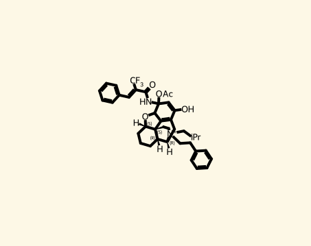 CC(=O)OC1(NC(=O)C(=Cc2ccccc2)C(F)(F)F)C=C(O)C2=C3C1O[C@H]1CCC[C@H]4[C@@H](C2)[N+](CCc2ccccc2)(CC(C)C)CC[C@]314